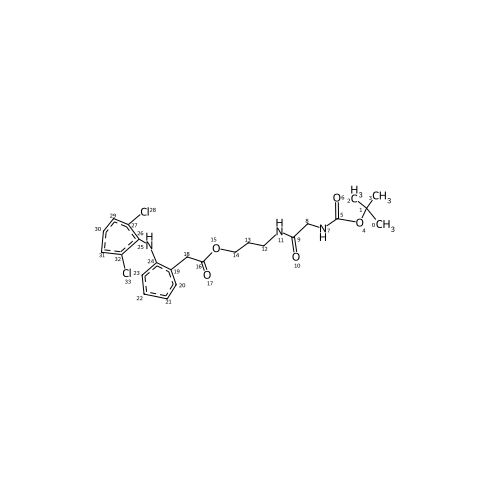 CC(C)(C)OC(=O)NCC(=O)NCCCOC(=O)Cc1ccccc1Nc1c(Cl)cccc1Cl